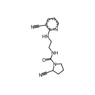 N#Cc1cccnc1NCCNC(=O)N1CCCC1C#N